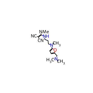 CNC(NCCCN(C)c1ccc(CN(C)C)o1)=C(C#N)C#N